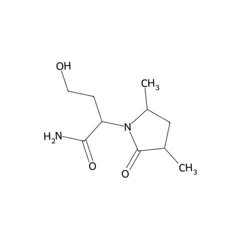 CC1CC(C)N(C(CCO)C(N)=O)C1=O